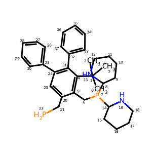 CC(C)(C)c1c(CP(C2CCCCN2)C2CCCCN2)c(CP)cc(-c2ccccc2)c1-c1ccccc1